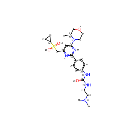 C[C@H]1COCCN1c1cc(CS(=O)(=O)C2CC2)nc(-c2ccc(NC(=O)NCCN(C)C)cc2)n1